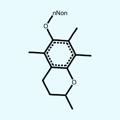 CCCCCCCCCOc1c(C)c(C)c2c(c1C)CCC(C)O2